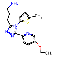 CCOc1ccc(-c2nnc(CCCN)n2-c2ccc(C)s2)nc1